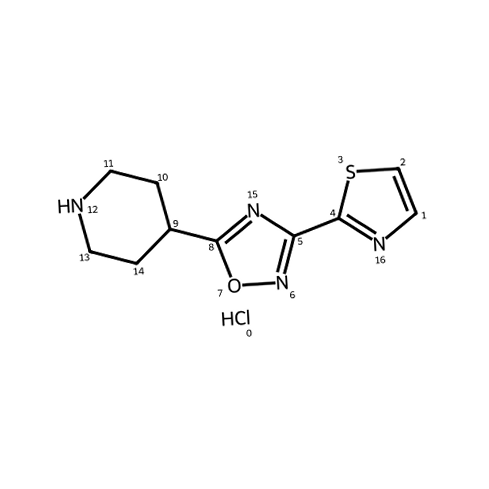 Cl.c1csc(-c2noc(C3CCNCC3)n2)n1